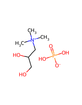 C[N+](C)(C)CC(O)CO.O=P([O-])(O)O